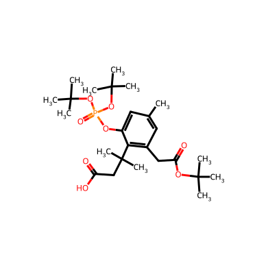 Cc1cc(CC(=O)OC(C)(C)C)c(C(C)(C)CC(=O)O)c(OP(=O)(OC(C)(C)C)OC(C)(C)C)c1